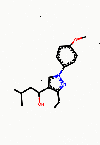 CCc1nn(-c2ccc(OC)cc2)cc1C(O)CC(C)C